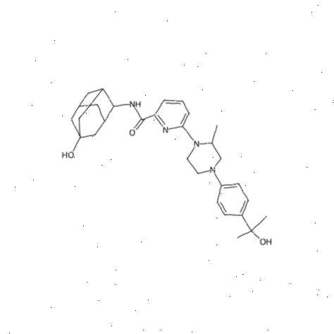 CC1CN(c2ccc(C(C)(C)O)cc2)CCN1c1cccc(C(=O)NC2C3CC4CC2CC(O)(C4)C3)n1